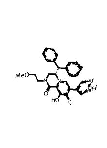 COCCN1C[C@H](C(c2ccccc2)c2ccccc2)n2cc(-c3cn[nH]c3)c(=O)c(O)c2C1=O